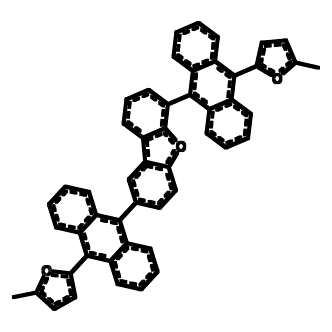 Cc1ccc(-c2c3ccccc3c(-c3ccc4oc5c(-c6c7ccccc7c(-c7ccc(C)o7)c7ccccc67)cccc5c4c3)c3ccccc23)o1